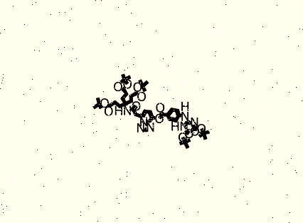 CC(C)(C)OC(=O)CCC(CCC(=O)OC(C)(C)C)(CCC(=O)OC(C)(C)C)NC(=O)Cc1ccc(OC(=O)c2ccc(N/C(=N/C(=O)OC(C)(C)C)NC(=O)OC(C)(C)C)cc2)c2ncnn12